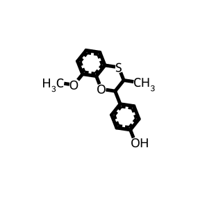 COc1cccc2c1OC(c1ccc(O)cc1)C(C)S2